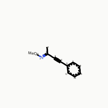 CON=C(C)C#Cc1ccccc1